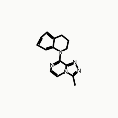 Cc1nnc2c(N3CCCc4ccccc43)nccn12